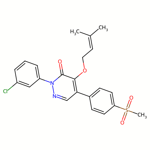 CC(C)=CCOc1c(-c2ccc(S(C)(=O)=O)cc2)cnn(-c2cccc(Cl)c2)c1=O